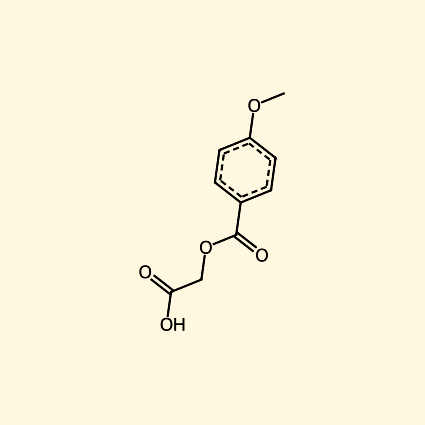 COc1ccc(C(=O)OCC(=O)O)cc1